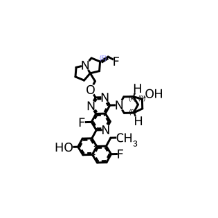 CCc1c(F)ccc2cc(O)cc(-c3ncc4c(N5C[C@@H]6C[C@H](C5)[C@H](O)C6)nc(OCC56CCCN5C/C(=C/F)C6)nc4c3F)c12